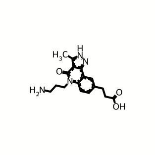 Cc1[nH]nc2c1c(=O)n(CCCN)c1ccc(CCC(=O)O)cc21